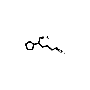 C=CCCCC(C=C)C1CCCC1